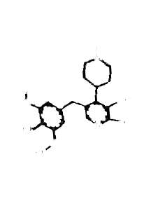 CCOc1cc(Cc2cnc(N)c(C(=O)O)c2C2CCNCC2)cc(OCC)c1Cl